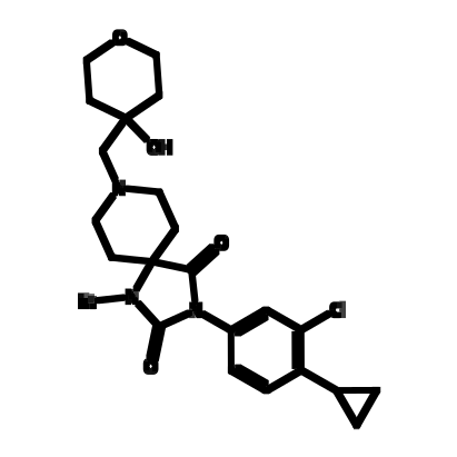 CCN1C(=O)N(c2ccc(C3CC3)c(Cl)c2)C(=O)C12CCN(CC1(O)CCOCC1)CC2